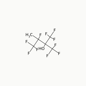 CC(F)(C(F)(F)F)C(O)(C(F)(F)F)C(F)(F)F